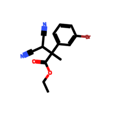 CCOC(=O)C(C)(c1cccc(Br)c1)C(C#N)C#N